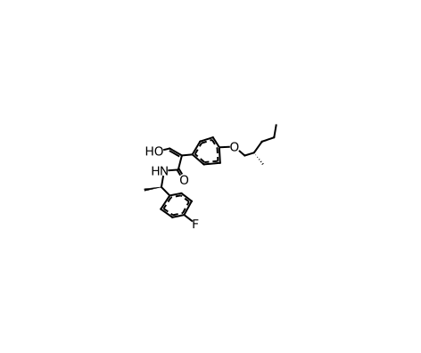 CCC[C@H](C)COc1ccc(C(=CO)C(=O)N[C@H](C)c2ccc(F)cc2)cc1